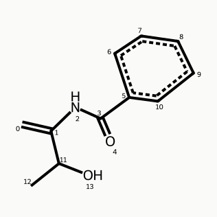 C=C(NC(=O)c1ccccc1)C(C)O